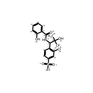 CCS(=O)(=O)c1ccc(C(NC(=O)c2ccccc2O)C(C)(O)C(F)(F)F)c(Cl)c1